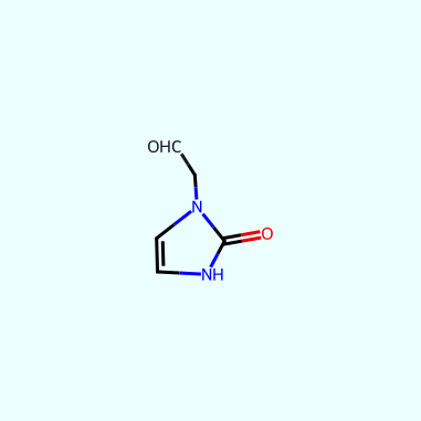 O=CCn1cc[nH]c1=O